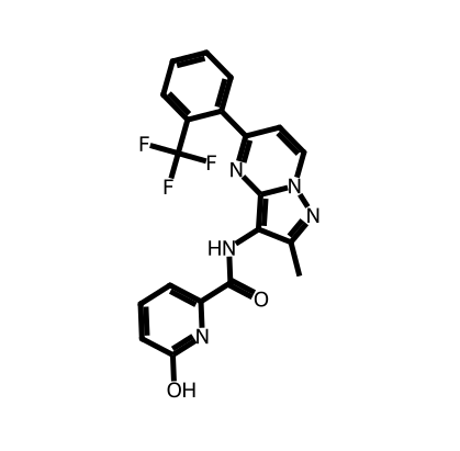 Cc1nn2ccc(-c3ccccc3C(F)(F)F)nc2c1NC(=O)c1cccc(O)n1